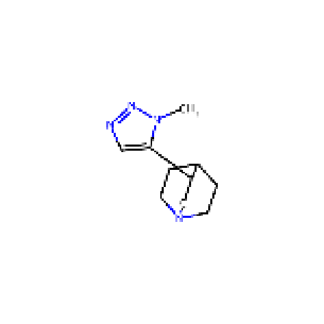 Cn1nncc1C1CN2CCC1CC2